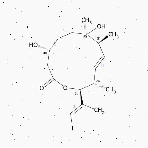 C/C(=C\I)[C@H]1OC(=O)C[C@H](O)CC[C@@](C)(O)[C@@H](C)/C=C/[C@@H]1C